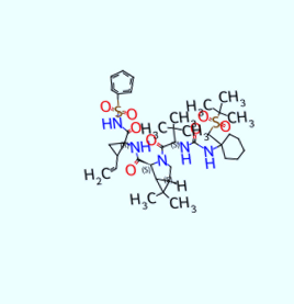 C=CC1C[C@]1(NC(=O)[C@@H]1C2[C@H](CN1C(=O)[C@@H](NC(=O)NC1(CS(=O)(=O)C(C)(C)C)CCCCC1)C(C)(C)C)C2(C)C)C(=O)NS(=O)(=O)c1ccccc1